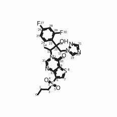 CCCS(=O)(=O)c1csc2c(=O)n(C(C)C(O)(Cn3cncn3)c3ccc(F)cc3F)cnc12